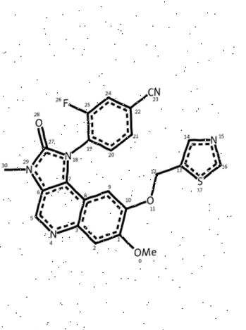 COc1cc2ncc3c(c2cc1OCc1cncs1)n(-c1ccc(C#N)cc1F)c(=O)n3C